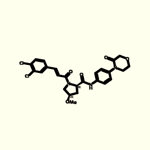 CO[C@@H]1C[C@H](C(=O)Nc2ccc(N3CCOCC3=O)cc2)N(C(=O)C=Cc2ccc(Cl)c(Cl)c2)C1